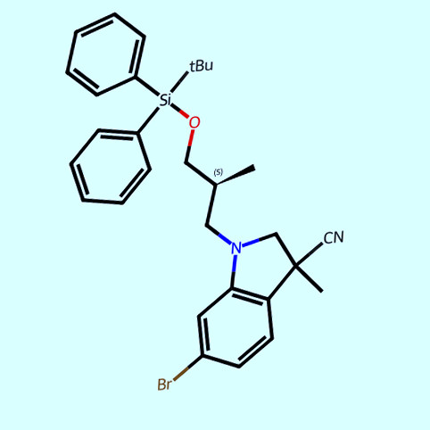 C[C@H](CO[Si](c1ccccc1)(c1ccccc1)C(C)(C)C)CN1CC(C)(C#N)c2ccc(Br)cc21